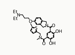 CCN(CC)CCCOc1ccc2c(c1)CN(C(=O)c1cc(C(=O)N(C)Cc3ccc(C)s3)c(O)cc1O)C2